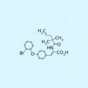 C=CCC(C)(C)C(=O)N/C(=C\c1ccc(Oc2ccccc2Br)cc1)C(=O)O